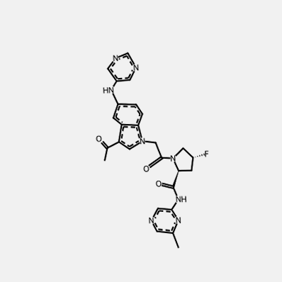 CC(=O)c1cn(CC(=O)N2C[C@H](F)C[C@H]2C(=O)Nc2cncc(C)n2)c2ccc(Nc3cncnc3)cc12